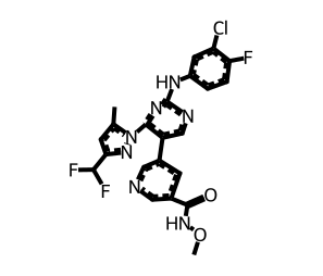 CONC(=O)c1cncc(-c2cnc(Nc3ccc(F)c(Cl)c3)nc2-n2nc(C(F)F)cc2C)c1